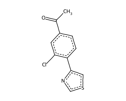 CC(=O)c1ccc(-c2cscn2)c(Cl)c1